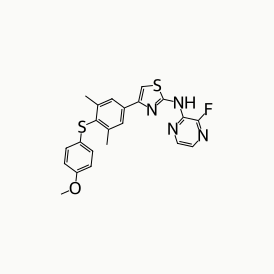 COc1ccc(Sc2c(C)cc(-c3csc(Nc4nccnc4F)n3)cc2C)cc1